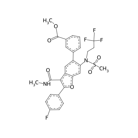 CNC(=O)c1c(-c2ccc(F)cc2)oc2cc(N(CCC(F)(F)F)S(C)(=O)=O)c(-c3cccc(C(=O)OC)c3)cc12